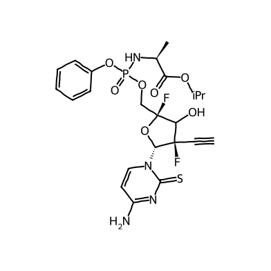 C#C[C@@]1(F)C(O)[C@@](F)(COP(=O)(N[C@@H](C)C(=O)OC(C)C)Oc2ccccc2)O[C@H]1n1ccc(N)nc1=S